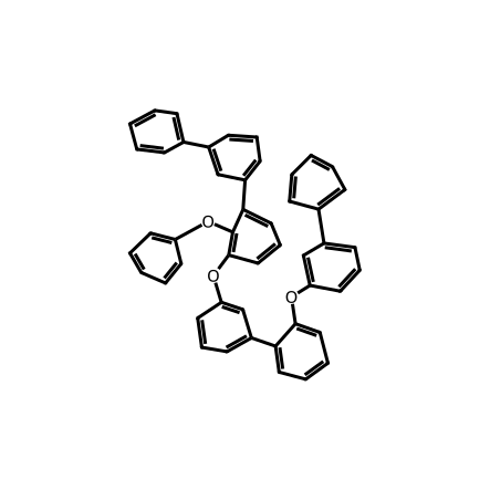 c1ccc(Oc2c(Oc3cccc(-c4ccccc4Oc4cccc(-c5ccccc5)c4)c3)cccc2-c2cccc(-c3ccccc3)c2)cc1